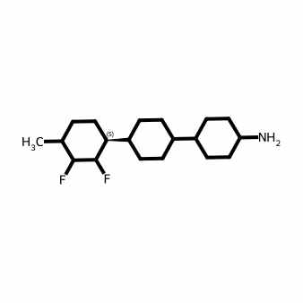 CC1CC[C@@H](C2CCC(C3CCC(N)CC3)CC2)C(F)C1F